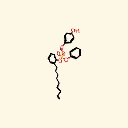 CCCCCCCCCc1ccccc1OP(=O)(OOc1ccc(O)cc1)Oc1ccccc1